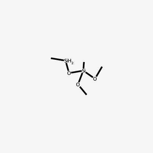 CO[Si](C)(OC)O[SiH2]C